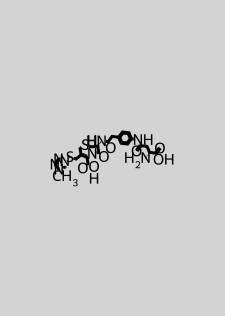 CN1CN(SCC2=C(C(=O)O)N3C(=O)[C@@H](NC(=O)Cc4ccc(NC(=O)C[C@@H](N)C(=O)O)cc4)[C@H]3SC2)N=N1